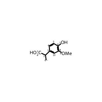 [CH2]C(C(=O)O)c1ccc(O)c(OC)c1